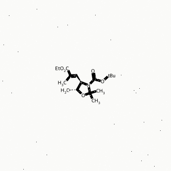 CCOC(=O)C(C)=C[C@@H]1[C@@H](C)OC(C)(C)N1C(=O)OC(C)(C)C